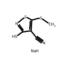 CSc1snc(S)c1C#N.[NaH]